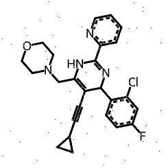 Fc1ccc(C2N=C(c3ccccn3)NC(CN3CCOCC3)=C2C#CC2CC2)c(Cl)c1